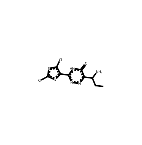 CCC(N)c1nnc(-c2nc(Cl)sc2Cl)[nH]c1=O